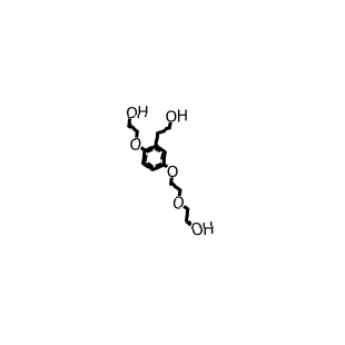 OCCOCCOc1ccc(OCCO)c(CCO)c1